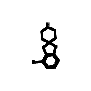 Brc1cccc2c1CC1(CCNCC1)O2